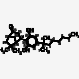 CCCCCCC(C)(C)c1cc(O)c([C@@H]2CC(=O)C3CC2C(C)(C)C3)c(O)c1